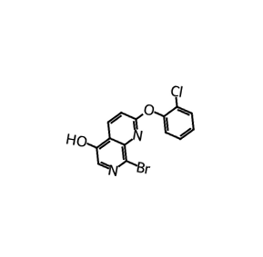 Oc1cnc(Br)c2nc(Oc3ccccc3Cl)ccc12